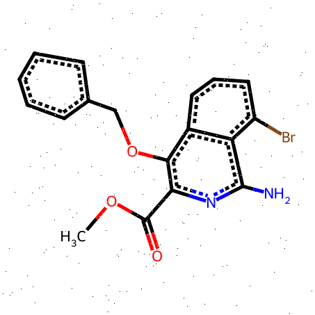 COC(=O)c1nc(N)c2c(Br)cccc2c1OCc1ccccc1